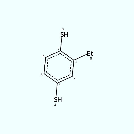 CCc1cc(S)ccc1S